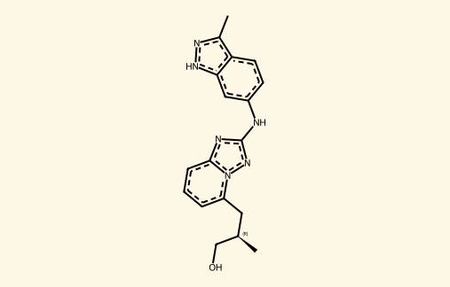 Cc1n[nH]c2cc(Nc3nc4cccc(C[C@@H](C)CO)n4n3)ccc12